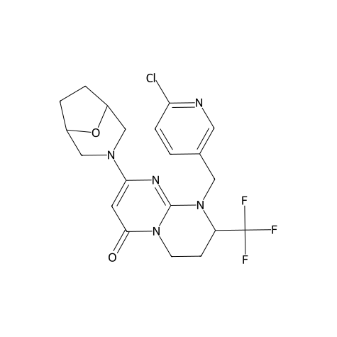 O=c1cc(N2CC3CCC(C2)O3)nc2n1CCC(C(F)(F)F)N2Cc1ccc(Cl)nc1